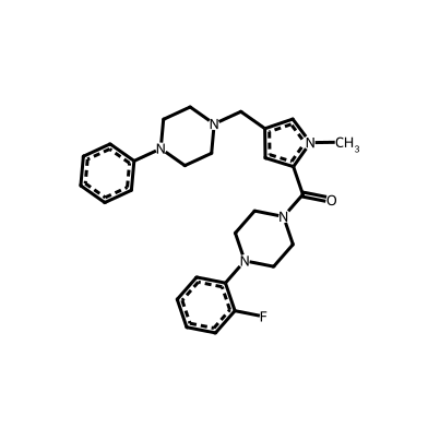 Cn1cc(CN2CCN(c3ccccc3)CC2)cc1C(=O)N1CCN(c2ccccc2F)CC1